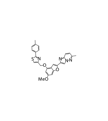 COc1cc(OCc2csc(-c3ccc(C)cc3)n2)c2cc(-c3cn4nc(C)ccc4n3)oc2c1